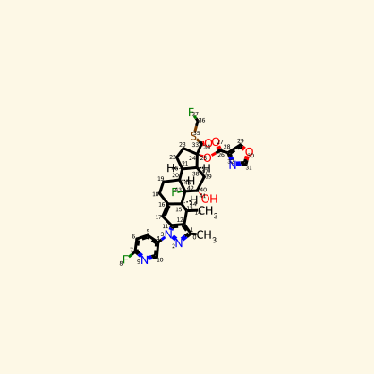 Cc1nn(-c2ccc(F)nc2)c2c1C(C)[C@H]1C(=C2)CC[C@H]2[C@H]3CC[C@](OC(=O)c4cocn4)(C(=O)SCF)[C@H]3C[C@H](O)[C@]12F